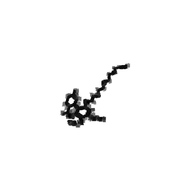 C#CCOCCOCCOCCOc1cc(CCCCC)c(C(=O)O)c(O)c1C1C=C(C)CCC1C(=C)C